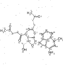 CC(=O)CCC(=O)OC1C(OC(=O)CCC(C)=O)[C@@H](CO)O[C@H]1n1cc2c3c(ncnc31)N(C)N=C2N